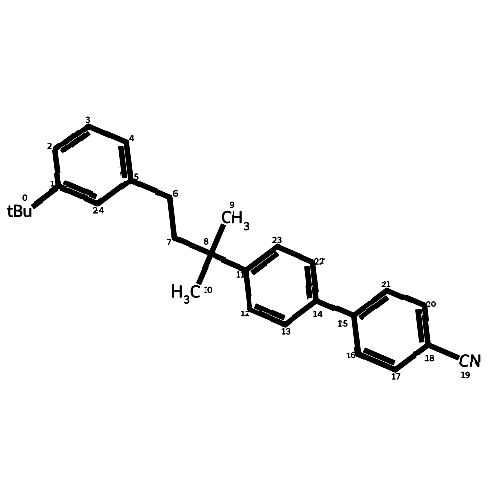 CC(C)(C)c1cccc(CCC(C)(C)c2ccc(-c3ccc(C#N)cc3)cc2)c1